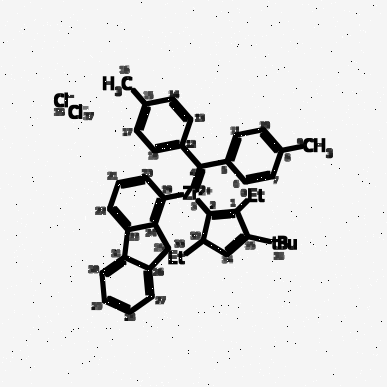 CCC1=[C]([Zr+2](=[C](c2ccc(C)cc2)c2ccc(C)cc2)[c]2cccc3c2Cc2ccccc2-3)C(CC)C=C1C(C)(C)C.[Cl-].[Cl-]